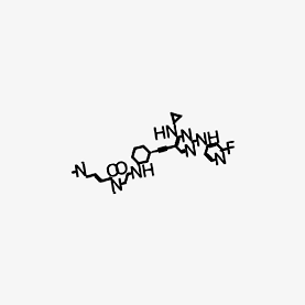 CN(C)C/C=C/C(=O)N(C)CC(=O)NC1CCC[C@@H](C#Cc2cnc(Nc3ccnc(F)c3)nc2NC2CC2)C1